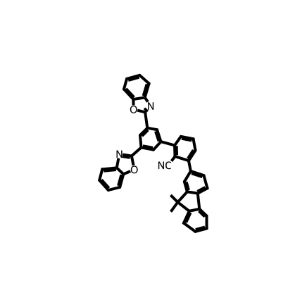 CC1(C)c2ccccc2-c2ccc(-c3cccc(-c4cc(-c5nc6ccccc6o5)cc(-c5nc6ccccc6o5)c4)c3C#N)cc21